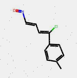 Cc1ccc(/C(Cl)=C/C=C/N=O)cc1